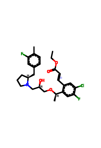 CCOC(=O)/C=C/c1cc(Cl)c(F)cc1[C@@H](C)OC[C@H](O)CN1CCC[C@H]1Cc1ccc(C)c(F)c1